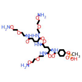 CP(=O)(O)O[C@H]1CC[C@H](C(=O)NC(CCC(=O)NC(CCC(=O)NCCOCCON)C(=O)NCCOCCON)C(=O)NCCOCCON)CC1